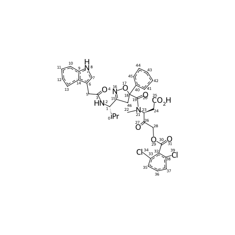 CC(C)[C@H](NC(=O)Cc1c[nH]c2ccccc12)C1=NOC(C(=O)N(C)[C@@H](CC(=O)O)C(=O)COC(=O)c2c(Cl)cccc2Cl)(c2ccccc2)C1